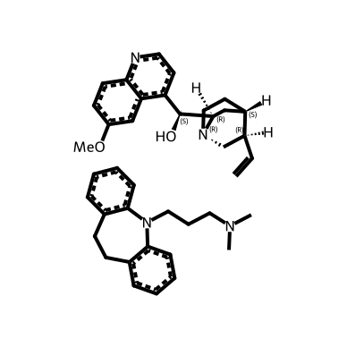 C=C[C@H]1C[N@]2CC[C@H]1C[C@@H]2[C@@H](O)c1ccnc2ccc(OC)cc12.CN(C)CCCN1c2ccccc2CCc2ccccc21